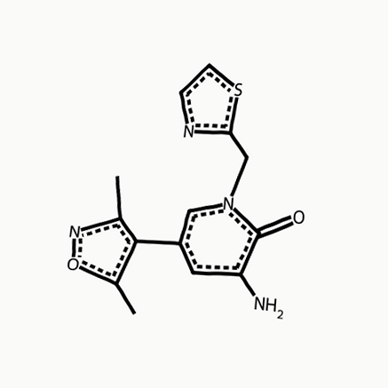 Cc1noc(C)c1-c1cc(N)c(=O)n(Cc2nccs2)c1